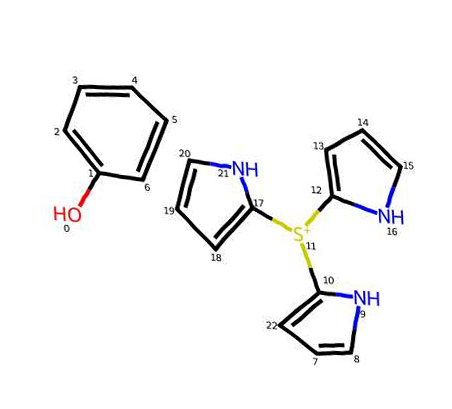 Oc1ccccc1.c1c[nH]c([S+](c2ccc[nH]2)c2ccc[nH]2)c1